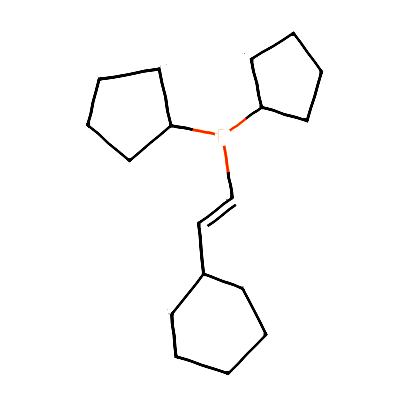 C(=CP(C1CCCC1)C1CCCC1)C1CCCCC1